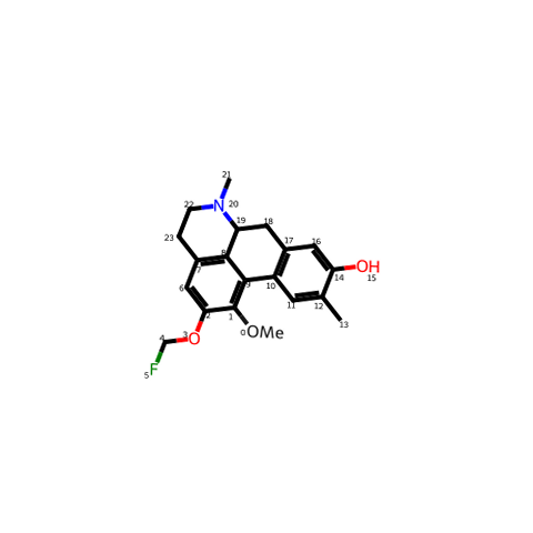 COc1c(OCF)cc2c3c1-c1cc(C)c(O)cc1CC3N(C)CC2